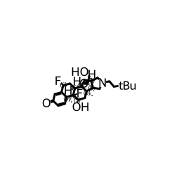 CC(C)(C)CCN1C[C@@H]2C[C@H]3[C@@H]4C[C@H](F)C5=CC(=O)C=C[C@]5(C)[C@@]4(F)[C@@H](O)C[C@]3(C)[C@]2(C(=O)CO)C1